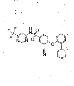 N#Cc1cc(S(=O)(=O)Nc2cc(C(F)(F)F)ncn2)ccc1Oc1ccccc1-c1ccccc1